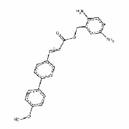 N#COc1ccc(-c2ccc(/C=C/C(=O)OCc3cc(N)ccc3N)cc2)cc1